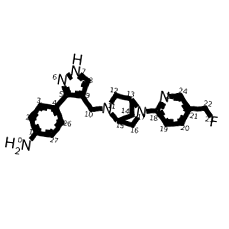 Nc1ccc(-c2n[nH]cc2CN2CC3CC2CN3c2ccc(CF)cn2)cc1